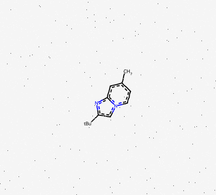 Cc1ccn2cc(C(C)(C)C)nc2c1